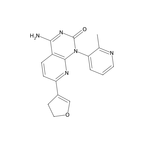 Cc1ncccc1-n1c(=O)nc(N)c2ccc(C3=COCC3)nc21